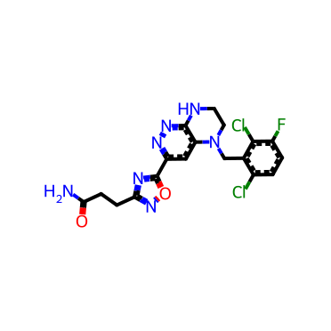 NC(=O)CCc1noc(-c2cc3c(nn2)NCCN3Cc2c(Cl)ccc(F)c2Cl)n1